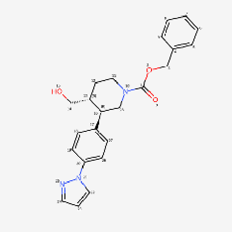 O=C(OCc1ccccc1)N1CC[C@@H](CO)[C@H](c2ccc(-n3cccn3)cc2)C1